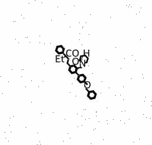 CCC(CCc1ccc(-c2ccc(OCc3ccccc3)cc2)c(CN2CCCCC2=O)c1)(C(=O)O)c1ccccc1